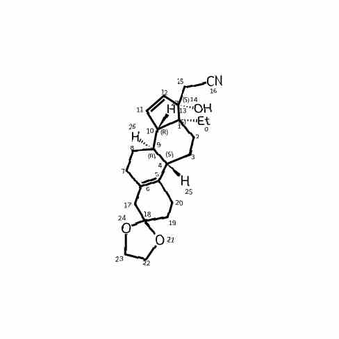 CC[C@]12CC[C@@H]3C4=C(CC[C@H]3[C@@H]1C=C[C@@]2(O)CC#N)CC1(CC4)OCCO1